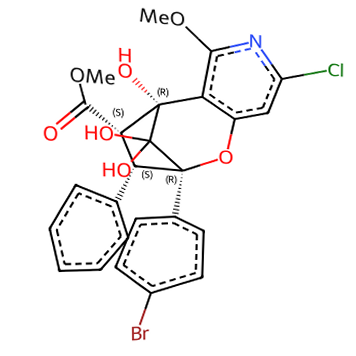 COC(=O)[C@H]1[C@@H](c2ccccc2)[C@]2(c3ccc(Br)cc3)Oc3cc(Cl)nc(OC)c3[C@@]1(O)C2(O)O